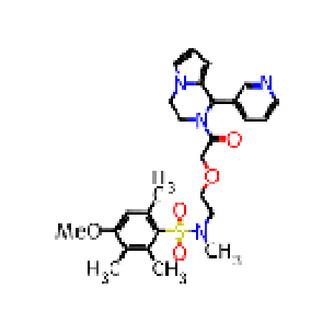 COc1cc(C)c(S(=O)(=O)N(C)CCOCC(=O)N2CCn3cccc3C2c2cccnc2)c(C)c1C